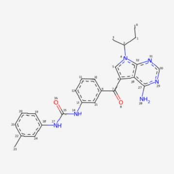 CCC(C)n1cc(C(=O)c2cccc(NC(=O)Nc3cccc(C)c3)c2)c2c(N)ncnc21